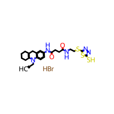 Br.C#CCN1C2=C(CCCC2)Cc2cc(NC(=O)CCC(=O)NCCSc3nnc(S)s3)ccc21